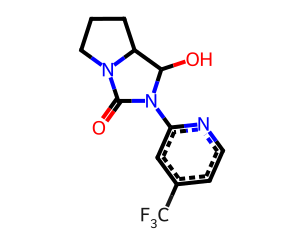 O=C1N2CCCC2C(O)N1c1cc(C(F)(F)F)ccn1